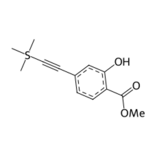 COC(=O)c1ccc(C#CS(C)(C)C)cc1O